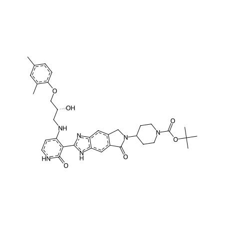 Cc1ccc(OC[C@H](O)CNc2cc[nH]c(=O)c2-c2nc3cc4c(cc3[nH]2)C(=O)N(C2CCN(C(=O)OC(C)(C)C)CC2)C4)c(C)c1